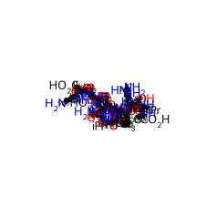 CC(C)C[C@H](NC(=O)[C@H](CCC(N)=O)NC(=O)[C@H](CCC(=O)O)NC(=O)[C@H](CO)NC(=O)CNC(=O)[C@H](CO)NC(=O)[C@H](CCC(=O)O)NC(=O)[C@@H](N)CCCCN)C(=O)N[C@@H](C)C(=O)N[C@@H](CCC(N)=O)C(=O)N[C@@H](Cc1ccccc1)C(=O)N[C@@H](CCCNC(=N)N)C(=O)N[C@@H](CO)C(=O)N[C@@H](CC(C)C)C(=O)N[C@@H](CC(=O)O)C(=O)O